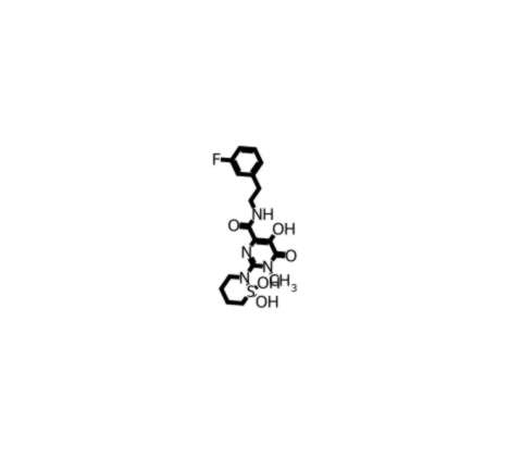 Cn1c(N2CCCCS2(O)O)nc(C(=O)NCCc2cccc(F)c2)c(O)c1=O